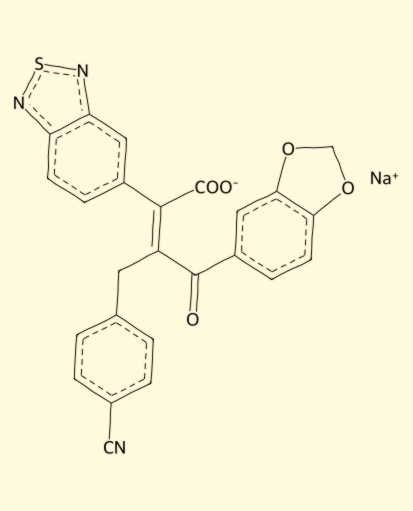 N#Cc1ccc(CC(C(=O)c2ccc3c(c2)OCO3)=C(C(=O)[O-])c2ccc3nsnc3c2)cc1.[Na+]